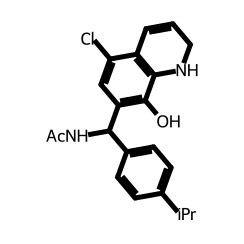 CC(=O)NC(c1ccc(C(C)C)cc1)c1cc(Cl)c2c(c1O)NCC=C2